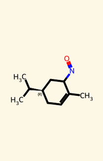 CC1=CC[C@@H](C(C)C)CC1N=O